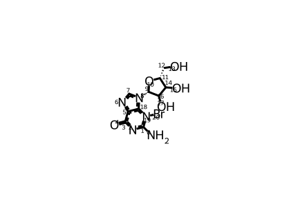 Nc1nc(=O)c2ncn([C@@H]3O[C@H](CO)C(O)C3O)c2n1Br